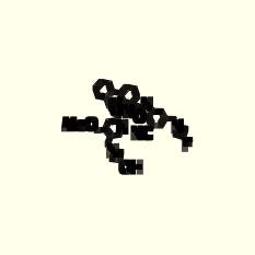 COCc1cc(C(=O)NC2(c3nc4cc(CN5CC(F)C5)cc(C#N)c4o3)C=CC=C(c3ccccc3C)C2Cl)ncc1CN1CC(O)C1